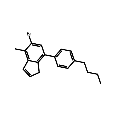 CCCCc1ccc(-c2cc(Br)c(C)c3c2CC=C3)cc1